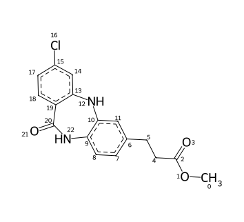 COC(=O)CCc1ccc2c(c1)Nc1cc(Cl)ccc1C(=O)N2